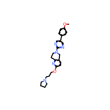 COc1ccc(-c2cnc(N3CCc4nc(OCCCN5CCCC5)ccc4C3)nc2)cc1